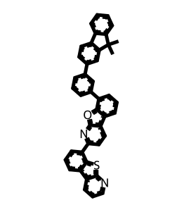 CC1(C)c2ccccc2-c2ccc(-c3cccc(-c4cccc5c4oc4nc(-c6cccc7c6sc6ncccc67)ccc45)c3)cc21